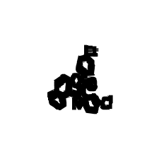 CCc1ccc(S(=O)(=O)n2c(-c3cccc4ccccc34)nc3ccc(Cl)cc32)cc1